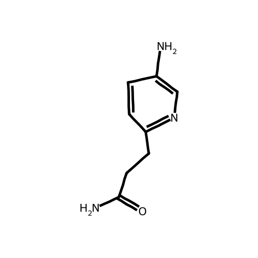 NC(=O)CCc1ccc(N)cn1